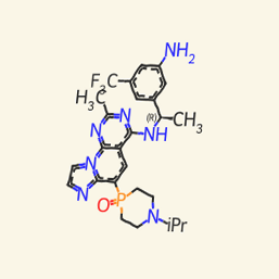 Cc1nc(N[C@H](C)c2cc(N)cc(C(F)(F)F)c2)c2cc(P3(=O)CCN(C(C)C)CC3)c3nccn3c2n1